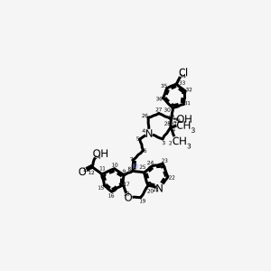 CC1(C)CN(CC/C=C2/c3cc(C(=O)O)ccc3OCc3ncccc32)CC[C@@]1(O)c1ccc(Cl)cc1